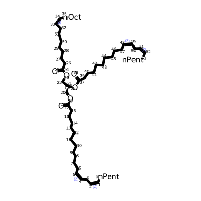 CCCCC/C=C\C/C=C\CCCCCCCCCCCC(=O)OC[C@@H](COC(=O)CCCCCCC/C=C\CCCCCCCC)OC(=O)CCCCCCCCC/C=C\C/C=C\CCCCC